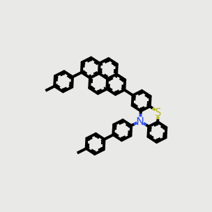 Cc1ccc(-c2ccc(N3c4ccccc4Sc4ccc(-c5cc6ccc7ccc(-c8ccc(C)cc8)c8ccc(c5)c6c78)cc43)cc2)cc1